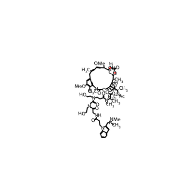 CNN(C)Cc1cc2ccccc2n1CCC(=O)NCC(=O)N(CCO)CC(=O)N(CCO)CCC(=O)N(C)C(C)C(=O)O[C@]1(OC(=O)[C@H](C)N(C)C(C)=O)CC(=O)N(C)c2cc(cc(OC)c2Cl)C/C(C)=C/C=C/C(OC)[C@@]2(O)C[C@H](OC(=O)N2)[C@@H](C)[C@@H]2O[C@]21C